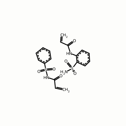 C=CC(=O)NS(=O)(=O)c1ccccc1.C=CC(=O)Nc1ccccc1S(N)(=O)=O